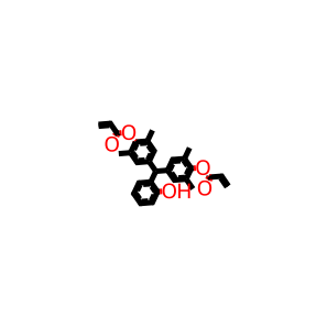 C=CC(=O)Oc1c(C)cc(C(c2cc(C)c(OC(=O)C=C)c(C)c2)c2ccccc2O)cc1C